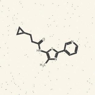 Cc1nc(-c2cccnc2)sc1NC(=O)CCC1CC1